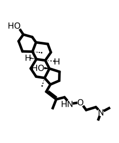 CC(=CC1CC[C@@]2(O)[C@@H]3CCC4CC(O)CC[C@]4(C)[C@@H]3CC[C@]12C)CNOCCN(C)C